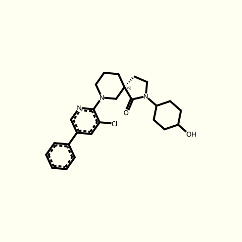 O=C1N(C2CCC(O)CC2)CC[C@]12CCCN(c1ncc(-c3ccccc3)cc1Cl)C2